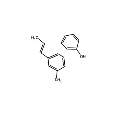 CC=Cc1cccc(C)c1.Oc1ccccc1